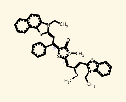 CCN1C(=C/C(c2ccccc2)=c2/s/c(=C/C(=Cc3sc4ccccc4[n+]3CC)OC)n(C)c2=O)Sc2c1ccc1ccccc21